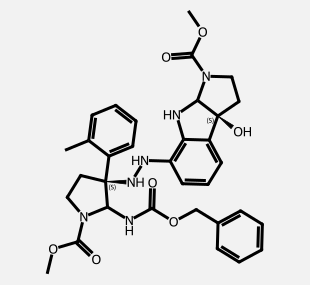 COC(=O)N1CC[C@](NNc2cccc3c2NC2N(C(=O)OC)CC[C@]32O)(c2ccccc2C)C1NC(=O)OCc1ccccc1